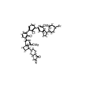 COc1nc(-c2cccc(-c3cccc(-c4cc5c(c(OC)n4)[C@@H](N4CCC6C(=O)NCC6C4)CC5)c3Cl)c2Cl)cc2c1[C@@H](N1CCN(C(C)=O)CC1)CC2